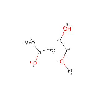 CCC(O)OC.CCOCCO